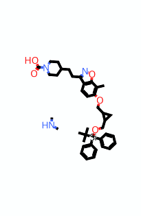 CNC.Cc1c(OCC2CC2CO[Si](c2ccccc2)(c2ccccc2)C(C)(C)C)ccc2c(CCC3CCN(C(=O)O)CC3)noc12